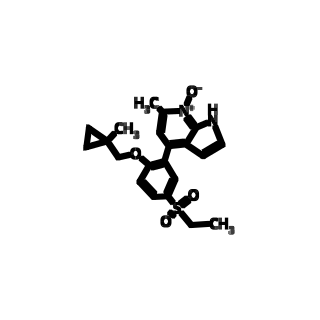 CCS(=O)(=O)c1ccc(OCC2(C)CC2)c(-c2cc(C)[n+]([O-])c3[nH]ccc23)c1